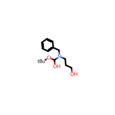 CC(C)(C)OC(O)N(CCCO)Cc1ccccc1